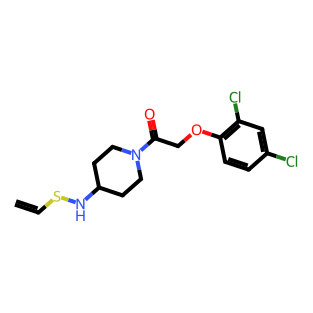 C=CSNC1CCN(C(=O)COc2ccc(Cl)cc2Cl)CC1